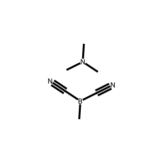 CB(C#N)C#N.CN(C)C